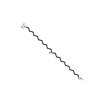 CCCCCCCCCCCCNCCCCCCCCCCCC.[C]